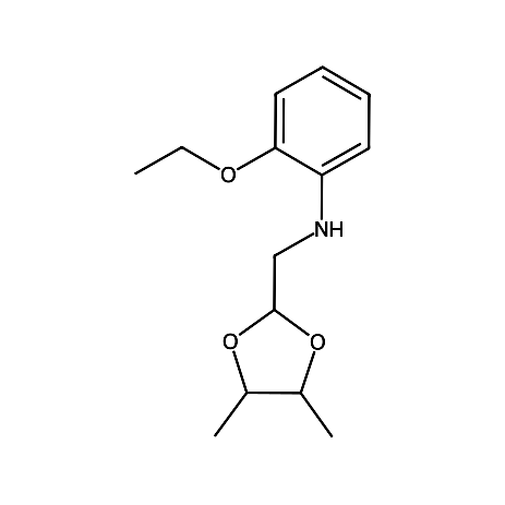 CCOc1ccccc1NCC1OC(C)C(C)O1